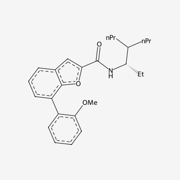 CCCC(CCC)[C@H](CC)NC(=O)c1cc2cccc(-c3ccccc3OC)c2o1